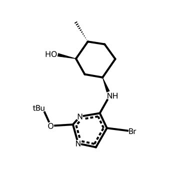 C[C@@H]1CC[C@@H](Nc2nc(OC(C)(C)C)ncc2Br)C[C@H]1O